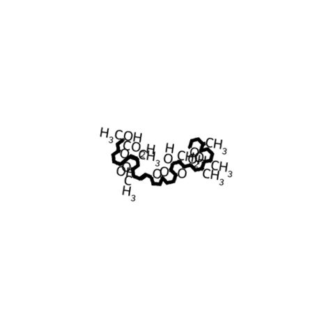 C=C1C(O)C2OC3(CCC(/C=C/C(C)C4CC(C)=CC5(OC(CC(C)(O)C(=O)O)CCC5O)O4)O3)CCC2OC1C(O)CC(C)C1OC2(CCC1C)OCCCC2C